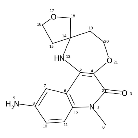 Cn1c(=O)c2c(c3cc(N)ccc31)NC1(CCOC1)CCO2